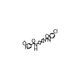 COc1cc(C(=O)NC2CC3(C2)CN(c2nc4ccc(Cl)cc4o2)C3)ccn1